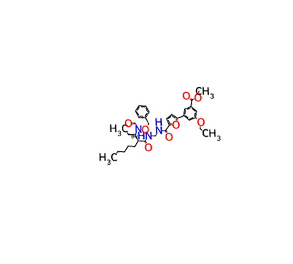 CCCCCC(C(=O)NCNC(=O)c1ccc(-c2cc(OCC)cc(C(=O)OC)c2)o1)[C@@H](CC)N(C=O)OCc1ccccc1